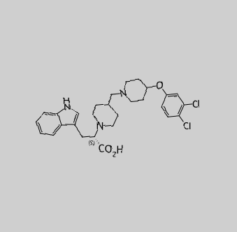 O=C(O)[C@H](Cc1c[nH]c2ccccc12)N1CCC(CN2CCC(Oc3ccc(Cl)c(Cl)c3)CC2)CC1